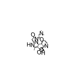 CSc1ncccc1C1C(C(=O)O)=C(C)Nc2cc(=O)n(C(=O)CN(C)C)n21